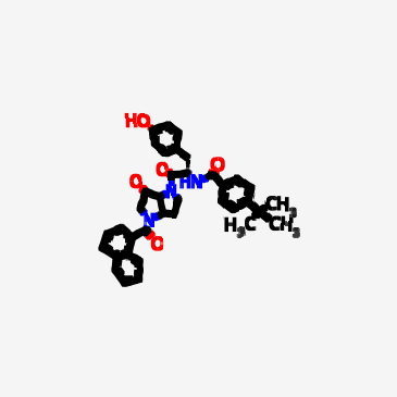 CC(C)(C)c1ccc(C(=O)N[C@@H](Cc2ccc(O)cc2)C(=O)N2CCC3C2C(=O)CN3C(=O)c2cccc3ccccc23)cc1